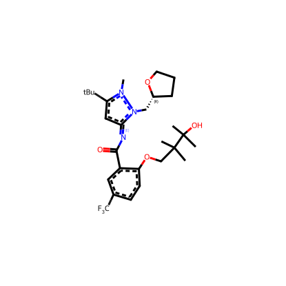 Cn1c(C(C)(C)C)c/c(=N\C(=O)c2cc(C(F)(F)F)ccc2OCC(C)(C)C(C)(C)O)n1C[C@H]1CCCO1